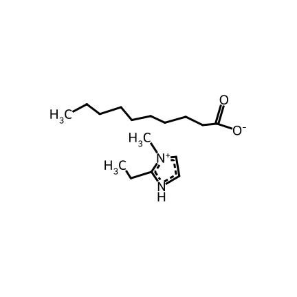 CCCCCCCCCC(=O)[O-].CCc1[nH]cc[n+]1C